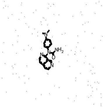 CN(C)c1ccc(N(C(N)=O)c2nccc3ccncc23)cc1